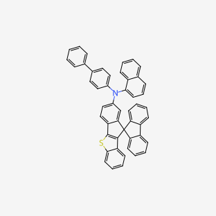 c1ccc(-c2ccc(N(c3ccc4c(c3)C3(c5ccccc5-c5ccccc53)c3c-4sc4ccccc34)c3cccc4ccccc34)cc2)cc1